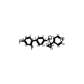 [O-][S+](c1ccc(-c2ccc(F)cc2F)cc1)C1(c2ccncc2)CC1